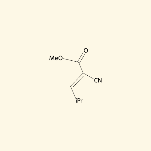 COC(=O)C(C#N)=CC(C)C